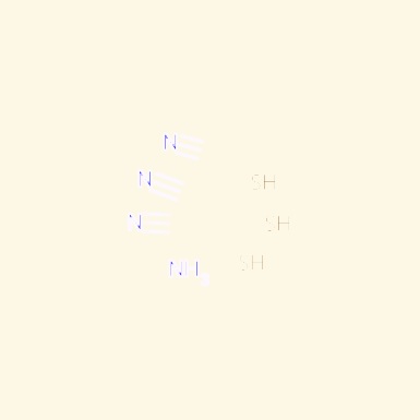 N.N#CS.N#CS.N#CS